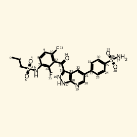 CCCS(=O)(=O)Nc1ccc(F)c(C(=O)c2n[nH]c3ncc(-c4ccc(S(N)(=O)=O)cc4)cc23)c1F